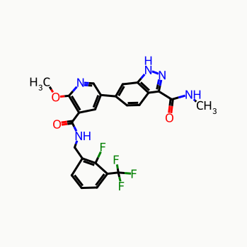 CNC(=O)c1n[nH]c2cc(-c3cnc(OC)c(C(=O)NCc4cccc(C(F)(F)F)c4F)c3)ccc12